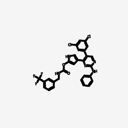 O=C(NCc1cccc(C(F)(F)F)c1)Oc1cc(-c2nc(Nc3ccccc3)ncc2-c2cc(Cl)cc(Cl)c2)c[nH]1